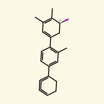 CC1=C(C)[C@@H](I)CC(c2ccc(C3=C=C=CCC3)cc2C)=C1